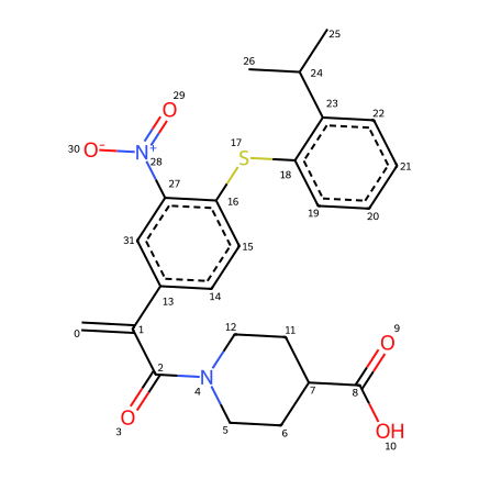 C=C(C(=O)N1CCC(C(=O)O)CC1)c1ccc(Sc2ccccc2C(C)C)c([N+](=O)[O-])c1